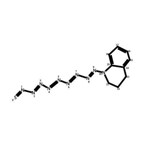 S=NN=NN=NN=NN=NN1CCCc2ccccc21